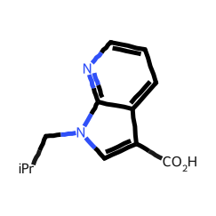 CC(C)Cn1cc(C(=O)O)c2cccnc21